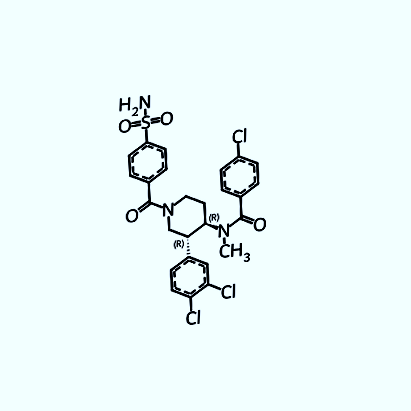 CN(C(=O)c1ccc(Cl)cc1)[C@@H]1CCN(C(=O)c2ccc(S(N)(=O)=O)cc2)C[C@H]1c1ccc(Cl)c(Cl)c1